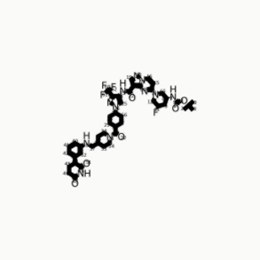 CC(C)(C)OC(=O)N[C@@H]1C[C@@H](F)CN(c2ccn3ncc(C(=O)Nc4cn(C5CCC(C(=O)N6CCC(CNc7cccc(C8CCC(=O)NC8=O)c7)CC6)CC5)nc4C(F)(F)F)c3n2)C1